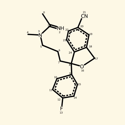 CC(=N)N(C)CCCC1(c2ccc(F)cc2)OCc2cc(C#N)ccc21